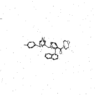 Cc1ccc(Cn2cncc2Cn2ccc(C(=O)N3CCOCC3)c2-c2cccc3ccccc23)cc1